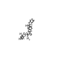 CC(Cc1c[nH]nn1)O[C@H](C)C(=O)N1Cc2cnc(NC3Cc4ccccc4C3)nc2C1